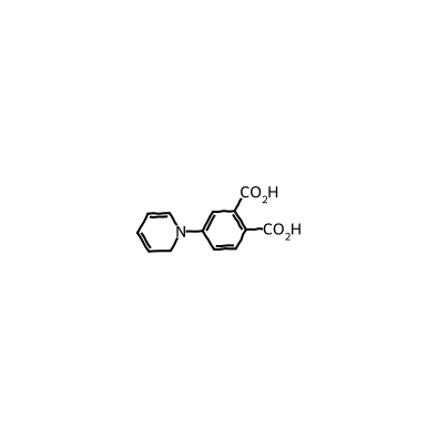 O=C(O)c1ccc(N2C=CC=CC2)cc1C(=O)O